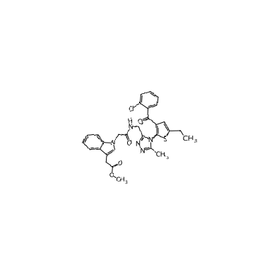 CCc1cc(C(=O)c2ccccc2Cl)c(-n2c(C)nnc2CNC(=O)Cn2cc(CC(=O)OC)c3ccccc32)s1